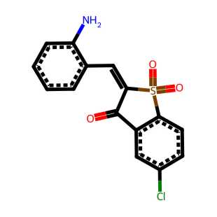 Nc1ccccc1/C=C1\C(=O)c2cc(Cl)ccc2S1(=O)=O